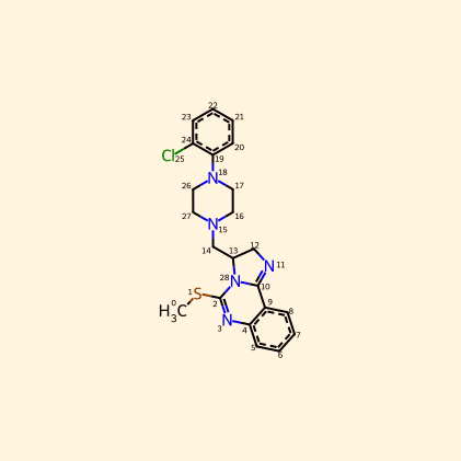 CSC1=Nc2ccccc2C2=NCC(CN3CCN(c4ccccc4Cl)CC3)N12